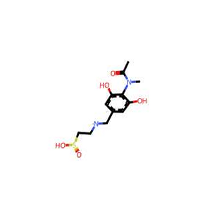 CC(=O)N(C)c1c(O)cc(C[N]CCS(=O)O)cc1O